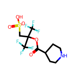 O=C(OC(CS(=O)(=O)O)(C(F)(F)F)C(F)(F)F)C1CCNCC1